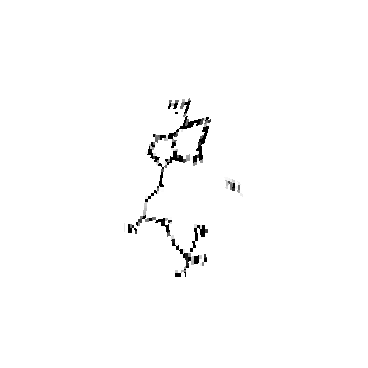 N.Nc1ncnc2c1ncn2OCC(O)OCP(=O)(O)O